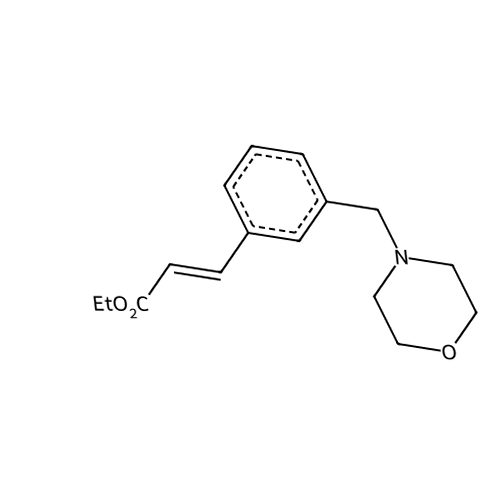 CCOC(=O)/C=C/c1cccc(CN2CCOCC2)c1